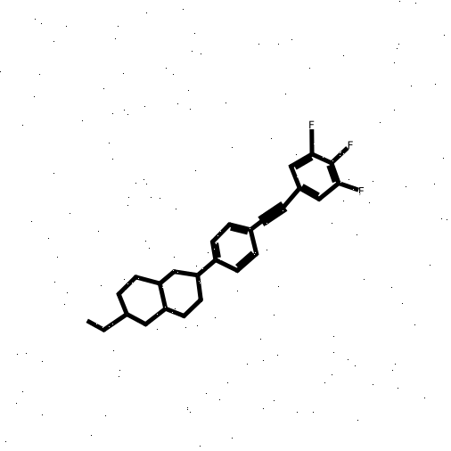 CCC1CCC2CC(c3ccc(C#Cc4cc(F)c(F)c(F)c4)cc3)CCC2C1